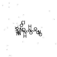 Cc1sc2c(c1C)C(c1ccc(Cl)cc1)=N[C@@H](CC(=O)N[C@H]1C[C@@H](NC(=O)/C=C/C(=O)c3ccc(=O)n(C)c3)C1)c1nnc(C)n1-2